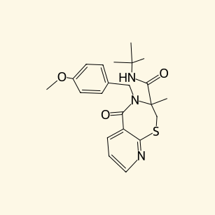 COc1ccc(CN2C(=O)c3cccnc3SCC2(C)C(=O)NC(C)(C)C)cc1